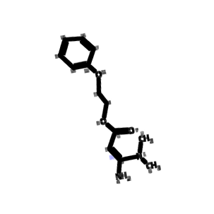 CN(C)/C(N)=C\C(=O)OCCOc1ccccc1